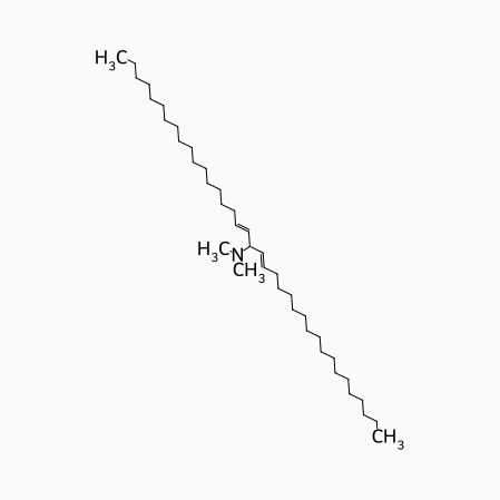 CCCCCCCCCCCCCCCCC=CC(C=CCCCCCCCCCCCCCCCC)N(C)C